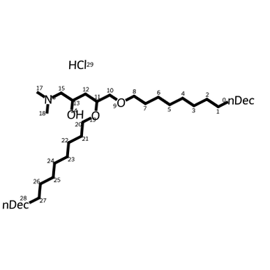 CCCCCCCCCCCCCCCCCCOCC(CC(O)CN(C)C)OCCCCCCCCCCCCCCCCCC.Cl